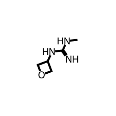 CNC(=N)NC1COC1